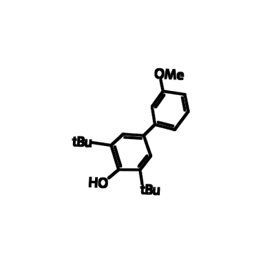 COc1cccc(-c2cc(C(C)(C)C)c(O)c(C(C)(C)C)c2)c1